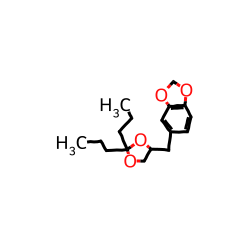 CCCC1(CCC)OCC(Cc2ccc3c(c2)OCO3)O1